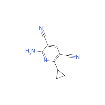 N#Cc1cc(C#N)c(C2CC2)nc1N